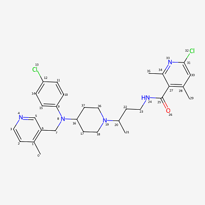 Cc1ccncc1CN(c1ccc(Cl)cc1)C1CCN(C(C)CCNC(=O)c2c(C)cc(Cl)nc2C)CC1